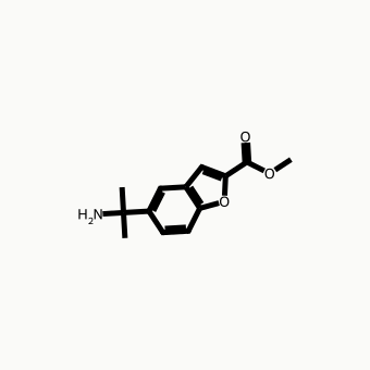 COC(=O)c1cc2cc(C(C)(C)N)ccc2o1